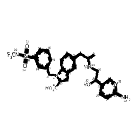 CC(Cc1ccc2c(c1)cc(C(=O)O)n2Cc1cccc(S(=O)(=O)NC(F)(F)F)c1)NCC(O)c1ccc(N)nc1